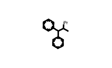 CC(C)C(C)C(c1ccccc1)c1ccccc1